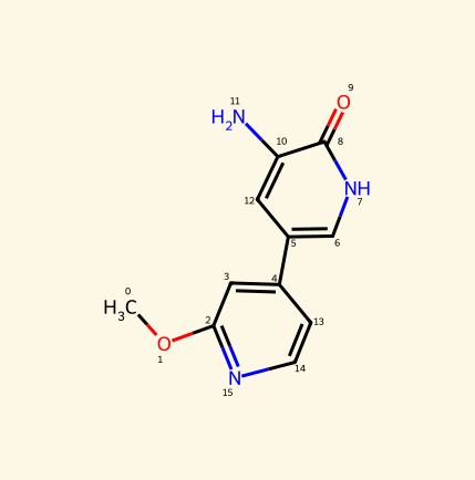 COc1cc(-c2c[nH]c(=O)c(N)c2)ccn1